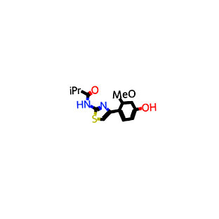 COC1CC(O)=CC=C1c1csc(NC(=O)C(C)C)n1